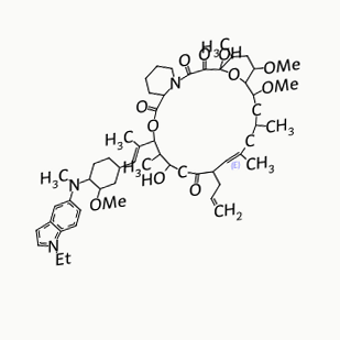 C=CCC1/C=C(\C)CC(C)CC(OC)C2OC(O)(C(=O)C(=O)N3CCCCC3C(=O)OC(C(C)=CC3CCC(N(C)c4ccc5c(ccn5CC)c4)C(OC)C3)C(C)C(O)CC1=O)C(C)CC2OC